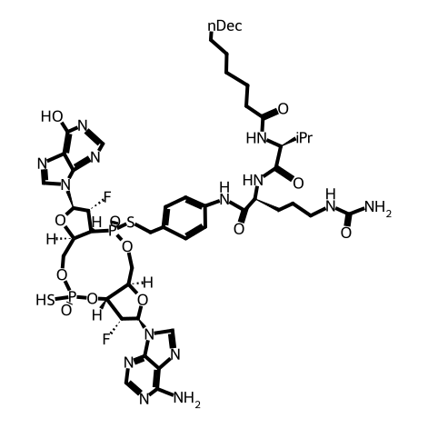 CCCCCCCCCCCCCCCC(=O)N[C@H](C(=O)N[C@@H](CCCNC(N)=O)C(=O)Nc1ccc(CSP2(=O)OC[C@H]3O[C@@H](n4cnc5c(N)ncnc54)[C@H](F)[C@@H]3OP(=O)(S)OC[C@H]3O[C@@H](n4cnc5c(O)ncnc54)[C@H](F)[C@@H]32)cc1)C(C)C